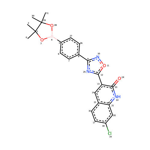 CC1(C)OB(c2ccc(-c3noc(-c4cc5ccc(Cl)cc5[nH]c4=O)n3)cc2)OC1(C)C